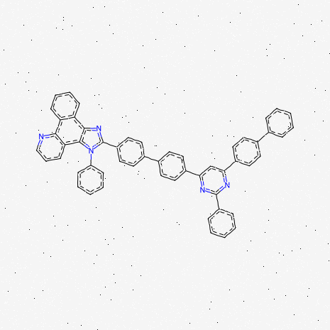 c1ccc(-c2ccc(-c3cc(-c4ccc(-c5ccc(-c6nc7c8ccccc8c8ncccc8c7n6-c6ccccc6)cc5)cc4)nc(-c4ccccc4)n3)cc2)cc1